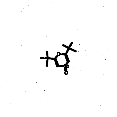 CC(C)(C)C1=C[Se](=O)C=C(C(C)(C)C)O1